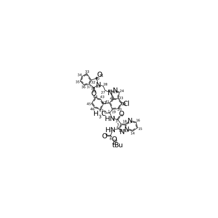 CC(NC(=O)c1c(NC(=O)OC(C)(C)C)nn2cccnc12)c1cc(Cl)c2cnn(CCN3C(=O)c4ccccc4C3=O)c2c1-c1ccccc1